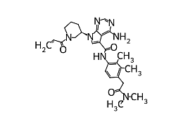 C=CC(=O)N1CCC[C@@H](n2cc(C(=O)Nc3ccc(CC(=O)N(C)C)c(C)c3C)c3c(N)ncnc32)C1